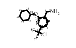 NCc1ccc(C(F)(F)Cl)nc1OC1CCCCC1